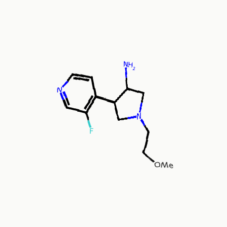 COCCN1CC(N)C(c2ccncc2F)C1